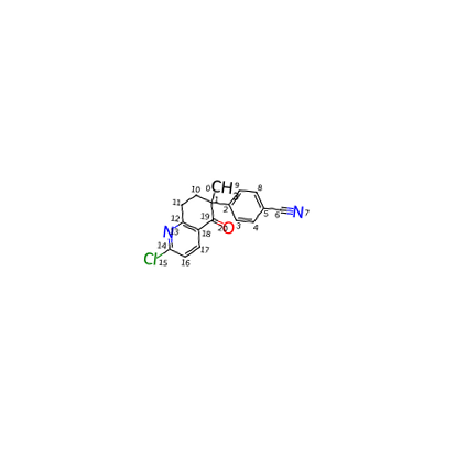 CC1(c2ccc(C#N)cc2)CCc2nc(Cl)ccc2C1=O